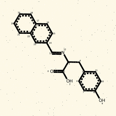 O=C(O)C(Cc1ccc(O)cc1)/N=C/c1ccc2ccccc2c1